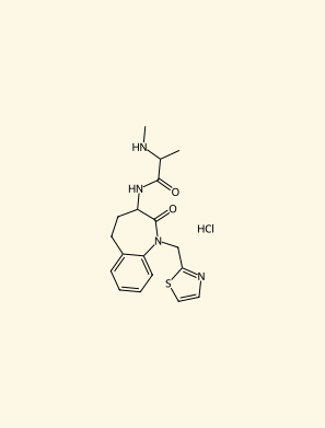 CNC(C)C(=O)NC1CCc2ccccc2N(Cc2nccs2)C1=O.Cl